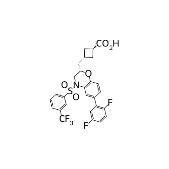 O=C(O)[C@H]1C[C@H](C[C@H]2CN(S(=O)(=O)c3cccc(C(F)(F)F)c3)c3cc(-c4cc(F)ccc4F)ccc3O2)C1